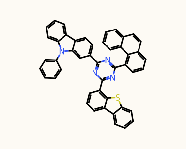 c1ccc(-n2c3ccccc3c3ccc(-c4nc(-c5cccc6c5sc5ccccc56)nc(-c5cccc6ccc7ccccc7c56)n4)cc32)cc1